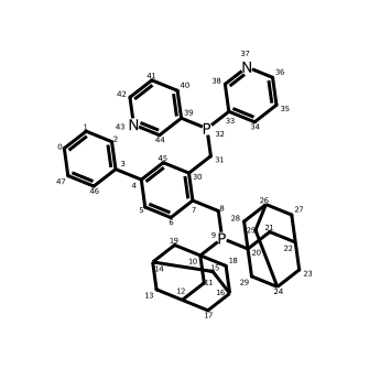 c1ccc(-c2ccc(CP(C34CC5CC(CC(C5)C3)C4)C34CC5CC(CC(C5)C3)C4)c(CP(c3cccnc3)c3cccnc3)c2)cc1